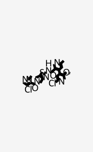 COc1cnc(Cl)cc1-c1cc(C)ncc1C(=O)Nc1nc2c(s1)CN(C(=O)c1c(Cl)cnn1C)C2